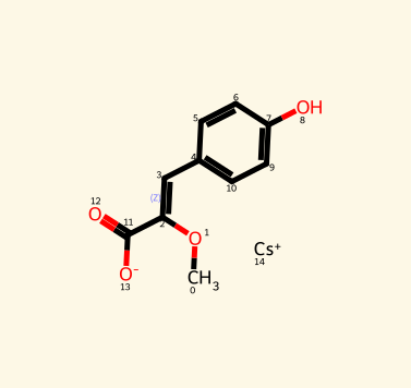 CO/C(=C\c1ccc(O)cc1)C(=O)[O-].[Cs+]